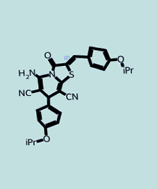 CC(C)Oc1ccc(/C=c2\sc3n(c2=O)C(N)=C(C#N)C(c2ccc(OC(C)C)cc2)C=3C#N)cc1